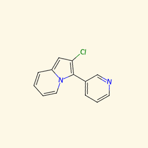 Clc1cc2ccccn2c1-c1cccnc1